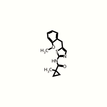 COc1ccccc1Cc1cnc(NC(=O)C2(C)CC2)s1